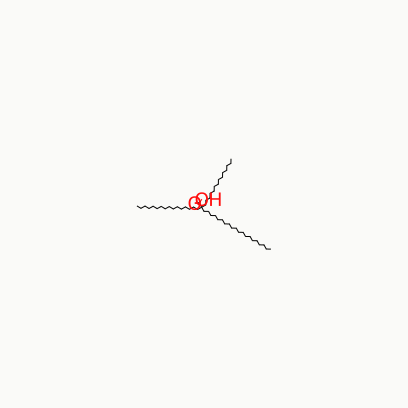 CCCCCCCCCCCCCCCCCCCCC(CCCCCCCCCCCCCC)(CCCCCCCCCCCCCCCC)C(=O)O